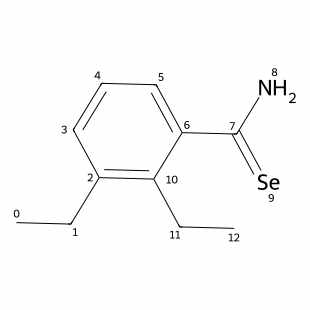 CCc1cccc(C(N)=[Se])c1CC